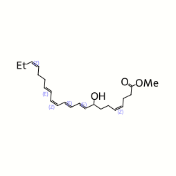 CC/C=C\CC/C=C/C=C\C=C\C=C\C(O)CC/C=C\CCC(=O)OC